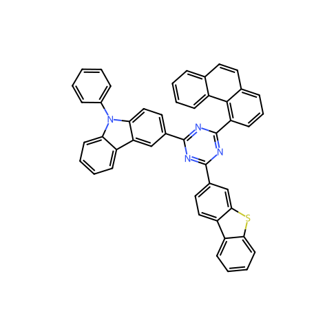 c1ccc(-n2c3ccccc3c3cc(-c4nc(-c5ccc6c(c5)sc5ccccc56)nc(-c5cccc6ccc7ccccc7c56)n4)ccc32)cc1